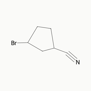 N#CC1CCC(Br)C1